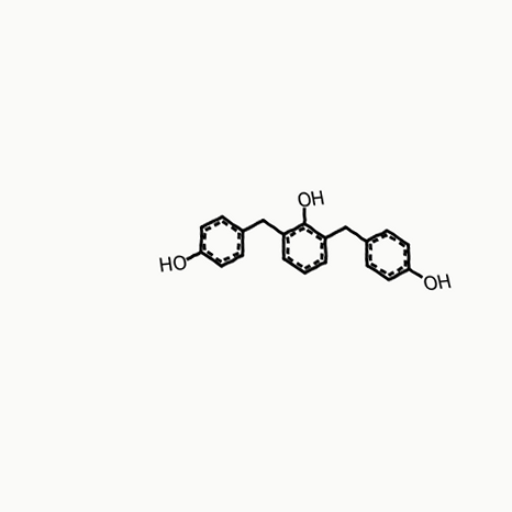 Oc1ccc(Cc2cccc(Cc3ccc(O)cc3)c2O)cc1